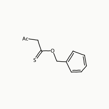 CC(=O)CC(=S)OCc1ccccc1